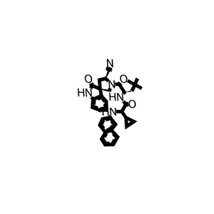 CC(C)(C)C[C@H](NC(=O)C(Nc1ccc2ccccc2c1)C1CC1)C(=O)N1C[C@]2(C[C@H]1C#N)C(=O)Nc1ccccc12